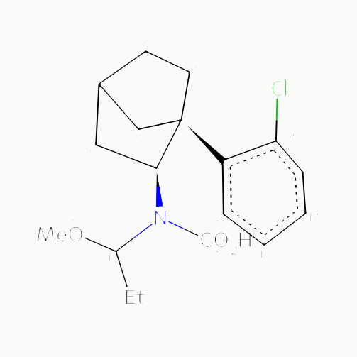 CCC(OC)N(C(=O)O)[C@H]1CC2CC[C@@]1(c1ccccc1Cl)C2